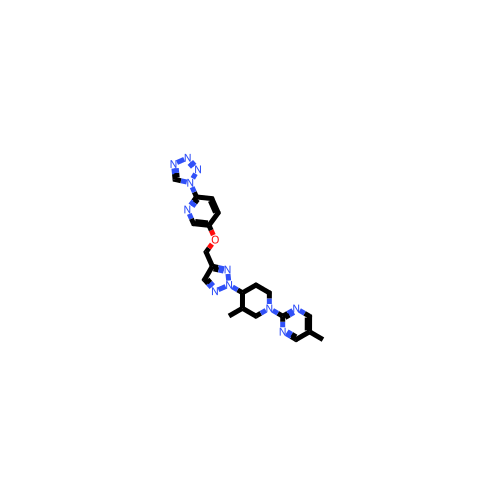 Cc1cnc(N2CCC(n3ncc(COc4ccc(-n5cnnn5)nc4)n3)C(C)C2)nc1